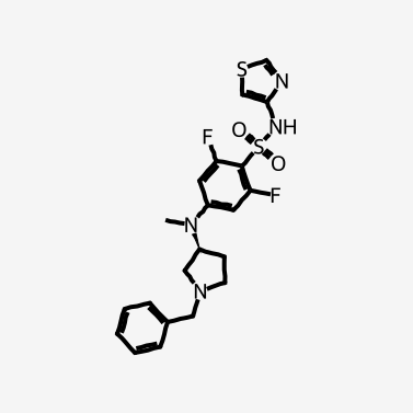 CN(c1cc(F)c(S(=O)(=O)Nc2cscn2)c(F)c1)[C@H]1CCN(Cc2ccccc2)C1